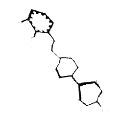 CC1CCC(C2CCC(CCc3cccc(F)c3F)CC2)CC1